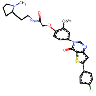 COc1cc(-n2cnc3cc(-c4ccc(Cl)cc4)sc3c2=O)ccc1OCC(=O)NCCC1CCCN1C